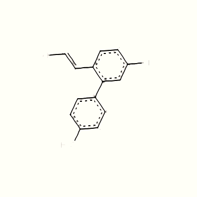 Cc1ccc(-c2cc(C)ccc2C=CI)cc1